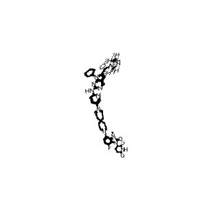 [2H]C([2H])([2H])N(C(=O)c1cc2cnc(Nc3ccc(N4CCC5(CC4)CCN(c4ccc(F)c6c4n(C)c(=O)n6[C@@H]4CCC(=O)NC4=O)CC5)cn3)nc2n1C1CCCC1)C([2H])([2H])[2H]